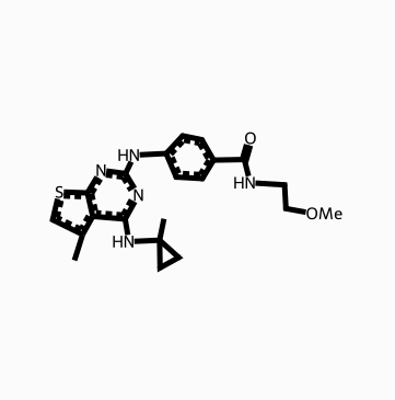 COCCNC(=O)c1ccc(Nc2nc(NC3(C)CC3)c3c(C)csc3n2)cc1